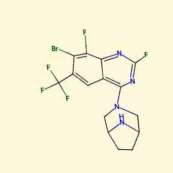 Fc1nc(N2CC3CCC(C2)N3)c2cc(C(F)(F)F)c(Br)c(F)c2n1